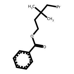 CC(C)CC(C)(C)CCOC(=O)c1cc[c]cc1